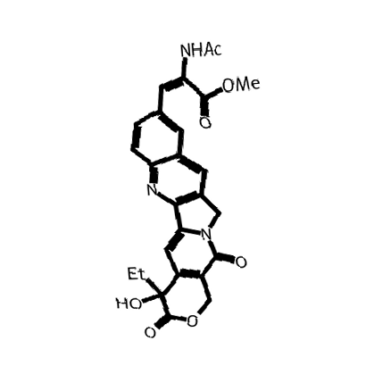 CCC1(O)C(=O)OCc2c1cc1n(c2=O)Cc2cc3cc(C=C(NC(C)=O)C(=O)OC)ccc3nc2-1